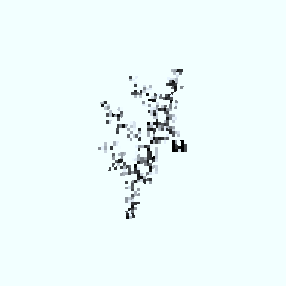 CCCCCCCCC(=Nc1ccc(CCCCC)c(CCCCC)c1)C(CCC)=Nc1ccc(CCCCC)c(CCCCC)c1.[Ni]